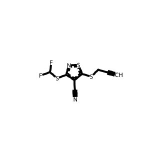 C#CCSc1snc(SC(F)F)c1C#N